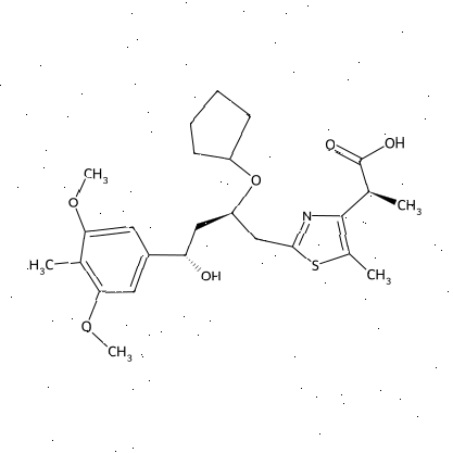 COc1cc([C@@H](O)C[C@H](Cc2nc([C@H](C)C(=O)O)c(C)s2)OC2CCCC2)cc(OC)c1C